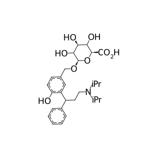 CC(C)N(CCC(c1ccccc1)c1cc(CO[C@@H]2O[C@H](C(=O)O)C(O)[C@H](O)C2O)ccc1O)C(C)C